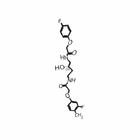 Cc1ccc(OCC(=O)NCC[C@H](O)CNC(=O)COc2ccc(F)cc2)cc1F